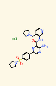 Cl.Nc1ncc(-c2ccc(S(=O)(=O)N3CCCC3)cc2)nc1C(=O)Nc1cnccc1CN1CCCC1